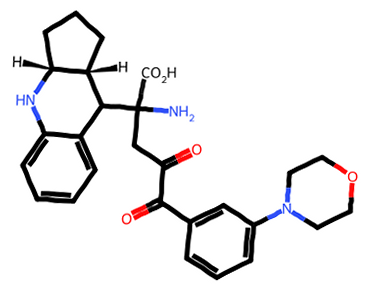 NC(CC(=O)C(=O)c1cccc(N2CCOCC2)c1)(C(=O)O)C1c2ccccc2N[C@@H]2CCC[C@H]12